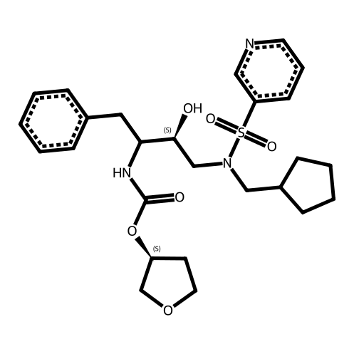 O=C(NC(Cc1ccccc1)[C@@H](O)CN(CC1CCCC1)S(=O)(=O)c1cccnc1)O[C@H]1CCOC1